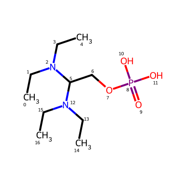 CCN(CC)C(COP(=O)(O)O)N(CC)CC